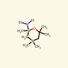 CCN(CC)[Si]1(C)OC(C)(C)C[Si](C)(C)[SiH2]1